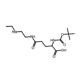 CCNCCNC(=O)CCC(NC(=O)OC(C)(C)C)C(=O)O